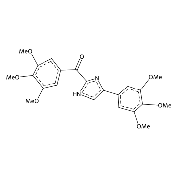 COc1cc(C(=O)c2nc(-c3cc(OC)c(OC)c(OC)c3)c[nH]2)cc(OC)c1OC